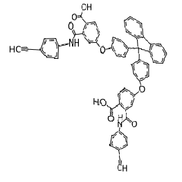 C#Cc1ccc(NC(=O)c2cc(Oc3ccc(C4(c5ccc(Oc6ccc(C(=O)O)c(C(=O)Nc7ccc(C#C)cc7)c6)cc5)c5ccccc5-c5ccccc54)cc3)ccc2C(=O)O)cc1